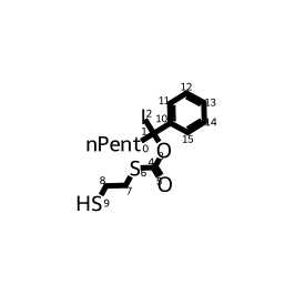 CCCCCC(I)(OC(=O)SCCS)c1ccccc1